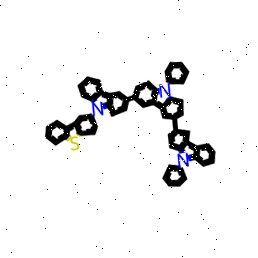 c1ccc(-n2c3ccccc3c3cc(-c4ccc5c(c4)c4cc(-c6ccc7c(c6)c6ccccc6n7-c6ccc7sc8ccccc8c7c6)ccc4n5-c4ccccc4)ccc32)cc1